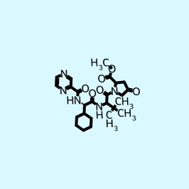 COC(=O)C1CC(=O)CN1C(=O)C(NC(=O)[C@@H](NC(=O)c1cnccn1)C1CCCCC1)C(C)(C)C